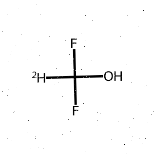 [2H]C(O)(F)F